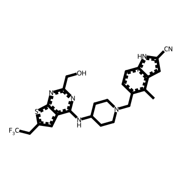 Cc1c(CN2CCC(Nc3nc(CO)nc4sc(CC(F)(F)F)cc34)CC2)ccc2[nH]c(C#N)cc12